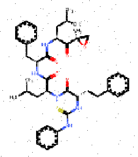 CC(C)C[C@H](NC(=O)[C@H](CCc1ccccc1)NC(=S)Nc1ccccc1)C(=O)N[C@@H](Cc1ccccc1)C(=O)N[C@@H](CC(C)C)C(=O)[C@@]1(C)CO1